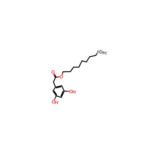 CCCCCCCCCCCCCCCCCCOC(=O)Cc1cc(O)cc(O)c1